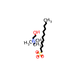 CCCCCCCCCCCCS(=O)(=O)[O-].C[N+](C)(C)CCO